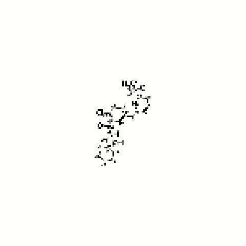 CS(=O)(=O)c1nccc(Cc2ccc(Cl)c(C(=O)NCC3(O)CCCCC3)c2)n1